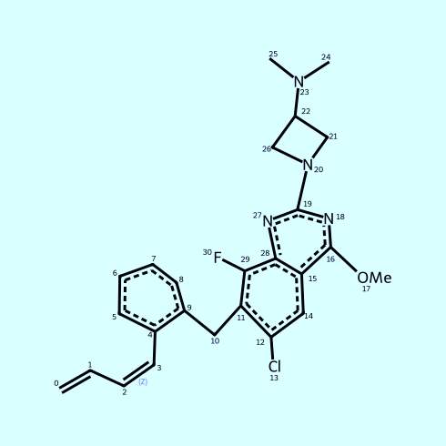 C=C/C=C\c1ccccc1Cc1c(Cl)cc2c(OC)nc(N3CC(N(C)C)C3)nc2c1F